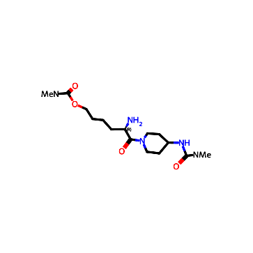 CNC(=O)NC1CCN(C(=O)[C@H](N)CCCCOC(=O)NC)CC1